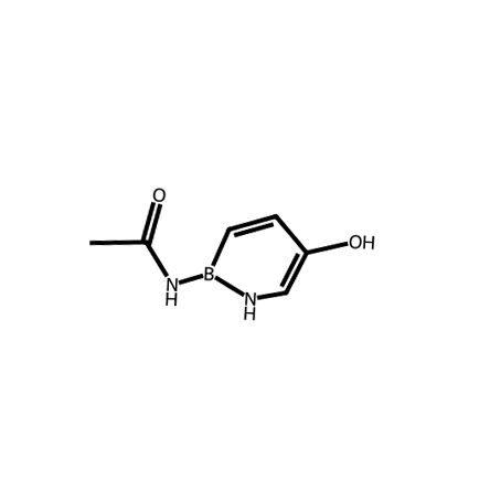 CC(=O)NB1C=CC(O)=CN1